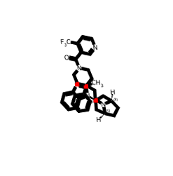 Cc1nc2ccccc2n1[C@H]1C[C@H]2CC[C@@H](C1)N2CCC1(c2ccccc2)CCN(C(=O)c2cnccc2C(F)(F)F)CC1